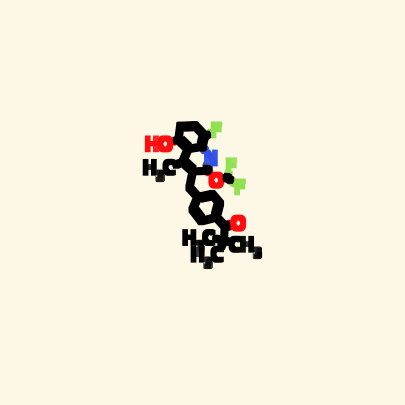 Cc1c(Cc2ccc(C(=O)C(C)(C)C)cc2)c(OC(F)F)nc2c(F)ccc(O)c12